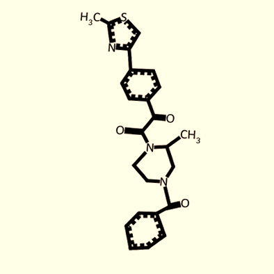 Cc1nc(-c2ccc(C(=O)C(=O)N3CCN(C(=O)c4ccccc4)CC3C)cc2)cs1